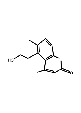 Cc1ccc2oc(=O)cc(C)c2c1CCO